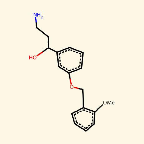 COc1ccccc1COc1cccc(C(O)CCN)c1